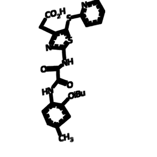 Cc1ccc(NC(=O)C(=O)Nc2nc(CC(=O)O)c(Sc3ccccn3)s2)c(OCC(C)C)c1